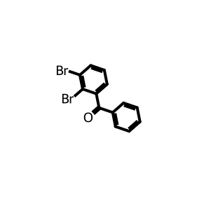 O=C(c1ccccc1)c1cccc(Br)c1Br